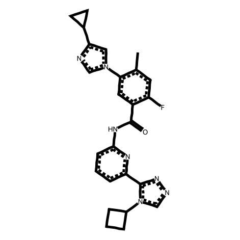 Cc1cc(F)c(C(=O)Nc2cccc(-c3nncn3C3CCC3)n2)cc1-n1cnc(C2CC2)c1